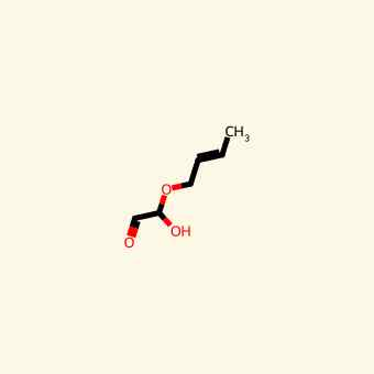 CC=CCOC(O)C=O